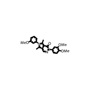 COc1cccc(-n2c(C)c3cnn(-c4ccc(OC)c(OC)c4)c(=O)c3c2C)c1